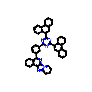 c1cc(-c2nc(-c3cc4ccccc4c4ccccc34)nc(-c3cc4ccccc4c4ccccc34)n2)cc(-c2nc3c(nc4ccccn43)c3ccccc23)c1